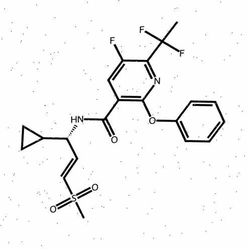 CC(F)(F)c1nc(Oc2ccccc2)c(C(=O)N[C@H](/C=C/S(C)(=O)=O)C2CC2)cc1F